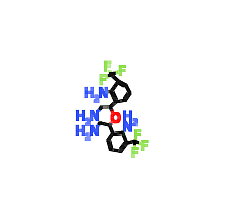 NCC(OC(CN)c1cccc(C(F)(F)F)c1N)c1cccc(C(F)(F)F)c1N